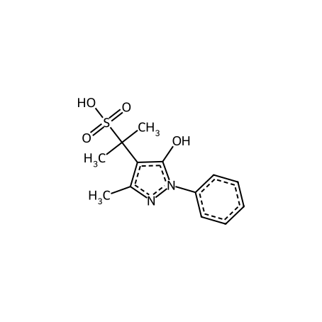 Cc1nn(-c2ccccc2)c(O)c1C(C)(C)S(=O)(=O)O